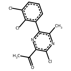 CC(=O)c1nc(-c2cccc(Cl)c2Cl)c(C)nc1Cl